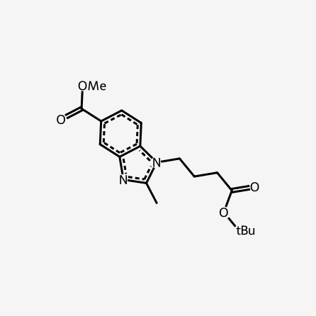 COC(=O)c1ccc2c(c1)nc(C)n2CCCC(=O)OC(C)(C)C